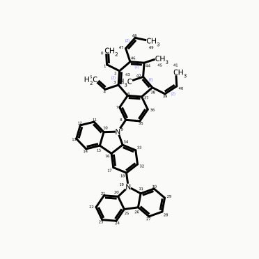 C=C/C1=C(\C=C)c2cc(-n3c4ccccc4c4cc(-n5c6ccccc6c6ccccc65)ccc43)ccc2C(/C=C\C)=C(C)/C(C)=C1/C=C\C